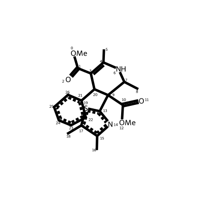 COC(=O)C1=C(C)NC(C)C(C(=O)OC)(c2nc(C)c(C)s2)C1c1ccccc1